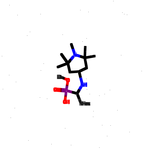 CCCCCCC(NC1CC(C)(C)N(C)C(C)(C)C1)P(=O)(O)OCC